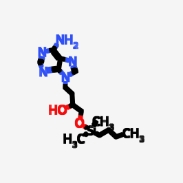 CCCC[Si](C)(C)OCC(O)CCn1cnc2c(N)ncnc21